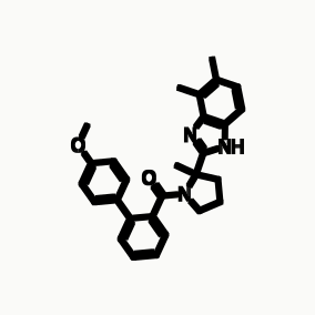 COc1ccc(-c2ccccc2C(=O)N2CCCC2(C)c2nc3c(C)c(C)ccc3[nH]2)cc1